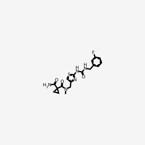 CN(Cc1csc(NC(=O)NCc2cccc(F)c2)n1)C(=O)C1(C(N)=O)CC1